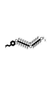 FC(F)(F)C(F)(F)C(F)(F)C(F)(F)C(F)(F)C(F)(F)OC(F)(F)C(F)(F)C(F)(F)C(F)(F)C(F)(F)C(F)(F)Oc1ccc(CCI)cc1